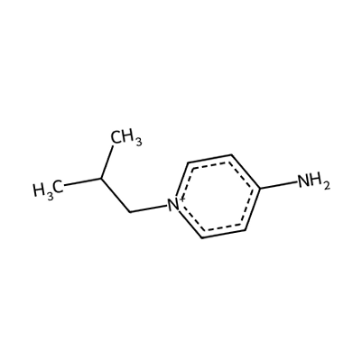 CC(C)C[n+]1ccc(N)cc1